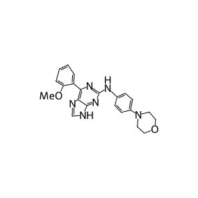 COc1ccccc1-c1nc(Nc2ccc(N3CCOCC3)cc2)nc2[nH]cnc12